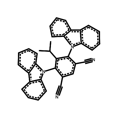 CC(C)c1c(-n2c3ccccc3c3ccccc32)c(C#N)cc(C#N)c1-n1c2ccccc2c2ccccc21